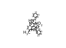 Cc1ccc2nc(NCc3ccccc3)c([N+](=O)[O-])c(C(=O)Nc3ccccc3)c2c1